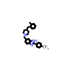 Cc1ccccc1CC1CCN(Cc2ccc3nc(-c4ccc(C(F)(F)F)cc4)[nH]c3c2)CC1